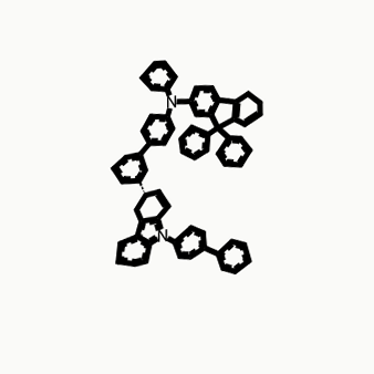 C1=CC2=C(CC1)c1ccc(N(c3ccccc3)c3ccc(-c4cccc([C@@H]5C=Cc6c(c7ccccc7n6-c6ccc(-c7ccccc7)cc6)C5)c4)cc3)cc1C2(c1ccccc1)c1ccccc1